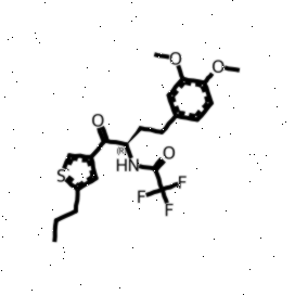 CCCc1cc(C(=O)[C@@H](CCc2ccc(OC)c(OC)c2)NC(=O)C(F)(F)F)cs1